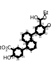 CCOC(=O)c1cc(-c2cccc3c(-c4ccc(O)c(C(O)OCC)c4)cccc23)ccc1O